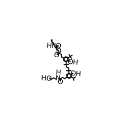 C=CCNC(=O)COC(=O)CCc1cc(C(C)(C)C)c(O)c(C(C)(C)CCC(C)(C)c2cc(CCC(=O)NCCCO)cc(C(C)C)c2O)c1